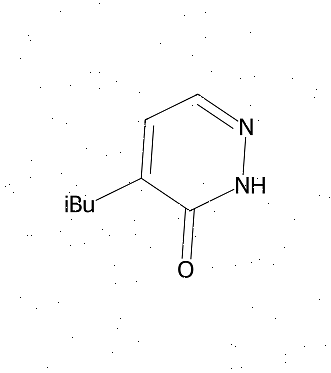 CCC(C)c1ccn[nH]c1=O